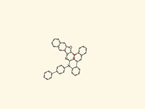 c1ccc(-c2ccc(N(c3ccc4oc5cc6ccccc6cc5c4n3)c3ccccc3-c3ccc4ccccc4c3)cc2)cc1